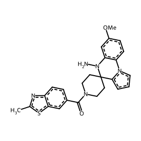 COc1ccc2c(c1)N(N)C1(CCN(C(=O)c3ccc4nc(C)sc4c3)CC1)c1cccn1-2